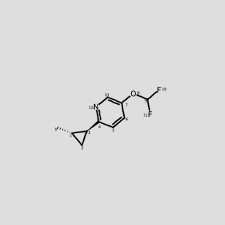 C[C@H]1C[C@@H]1c1ccc(OC(F)F)cn1